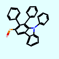 O=Pc1cc2c3ccccc3n(-c3ccccc3)c2c(-c2ccccc2)c1-c1ccccc1